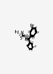 NC(=S)NN=C(c1ccccc1)c1cccc(Br)c1